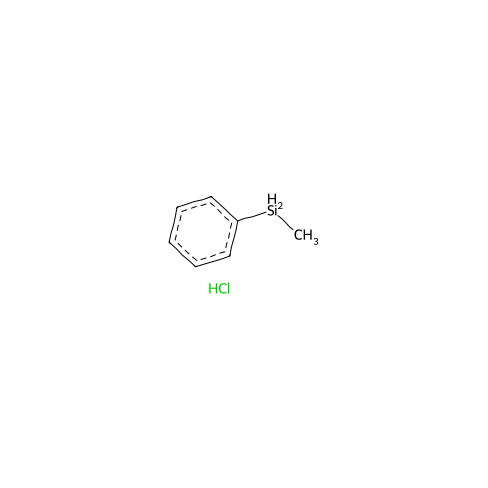 C[SiH2]c1ccccc1.Cl